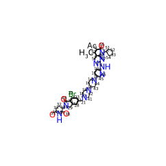 CC(=O)c1c(C)c2cnc(Nc3ccc(N4CCC(N5CCN(Cc6cc(Br)c7c(c6)CN(C6CCC(=O)NC6=O)C7=O)CC5)CC4)cn3)nc2n(C2CCCC2)c1=O